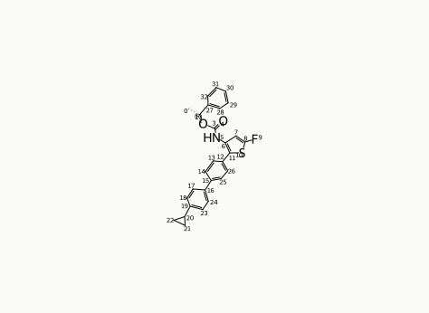 C[C@@H](OC(=O)Nc1cc(F)sc1-c1ccc(-c2ccc(C3CC3)cc2)cc1)c1ccccc1